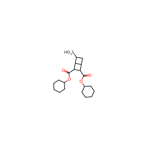 O=C(OC1CCCCC1)C1C2CC(S(=O)(=O)O)C2C1C(=O)OC1CCCCC1